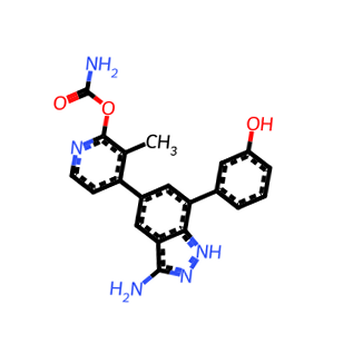 Cc1c(-c2cc(-c3cccc(O)c3)c3[nH]nc(N)c3c2)ccnc1OC(N)=O